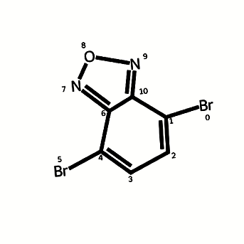 Brc1ccc(Br)c2nonc12